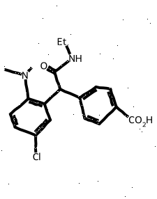 CCNC(=O)C(c1ccc(C(=O)O)cc1)c1cc(Cl)ccc1N(C)C